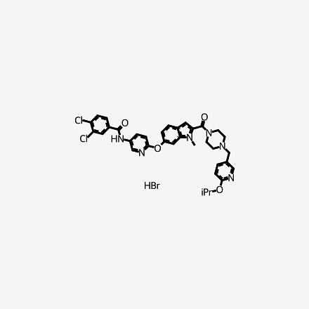 Br.CC(C)Oc1ccc(CN2CCN(C(=O)c3cc4ccc(Oc5ccc(NC(=O)c6ccc(Cl)c(Cl)c6)cn5)cc4n3C)CC2)cn1